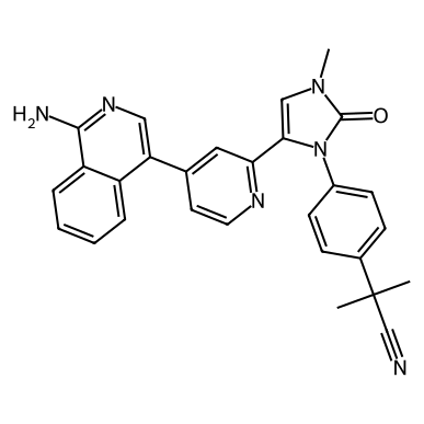 Cn1cc(-c2cc(-c3cnc(N)c4ccccc34)ccn2)n(-c2ccc(C(C)(C)C#N)cc2)c1=O